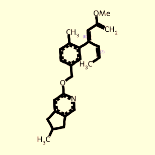 C=C(/C=C(\C=C/C)c1cc(COc2cc3c(cn2)CC(C)C3)ccc1C)OC